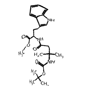 COC(=O)C(Cc1c[nH]c2ccccc12)NC(=O)CC(C)(C)NC(=O)OC(C)(C)C